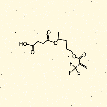 C=C(C(=O)OCCCC(C)OC(=O)CCC(=O)O)C(F)(F)F